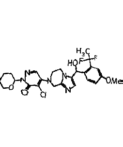 COc1ccc(C(O)c2cnc3n2CCN(c2cnn(C4CCCCO4)c(=O)c2Cl)C3)c(C(C)(F)F)c1